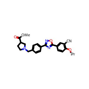 COC(=O)C1CCN(Cc2ccc(-c3noc(-c4ccc(OC(C)C)c(C#N)c4)n3)cc2)C1